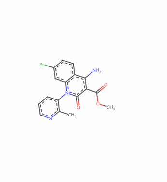 COC(=O)c1c(N)c2ccc(Br)cc2n(-c2cccnc2C)c1=O